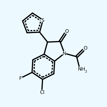 NC(=O)N1C(=O)C(c2cccs2)c2cc(F)c(Cl)cc21